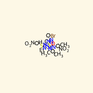 CCn1c(CN(c2ccc(C)cc2C)C(Sc2nnc(-c3ccccc3Br)n2C)C(=O)Nc2ccc(C)c([N+](=O)[O-])c2)nnc1SCc1ccc([N+](=O)[O-])cc1